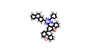 c1ccc(-c2nc(-c3ccc4c(ccc5ccccc54)c3)nc(-c3cc(-c4cccc5oc6ccccc6c45)cc4oc5ccccc5c34)n2)cc1